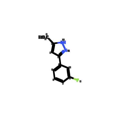 CCOC(=O)c1cc(-c2cccc(F)c2)n[nH]1